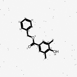 Cc1cc(C(=O)OCc2ccccc2)cc(C)c1O